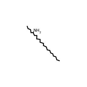 CCCCCCCCCCCCCCCCC(N)CCCC